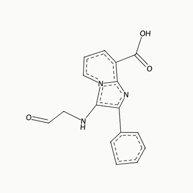 O=CCNc1c(-c2ccccc2)nc2c(C(=O)O)cccn12